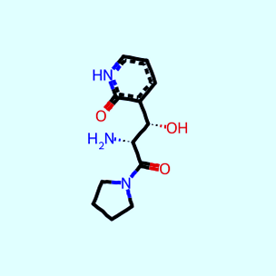 N[C@@H](C(=O)N1CCCC1)[C@@H](O)c1ccc[nH]c1=O